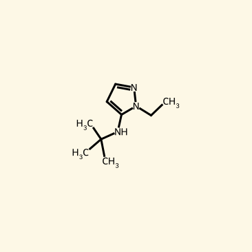 CCn1nccc1NC(C)(C)C